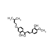 COc1ccc(C=CC(=O)c2ccc(OCC=C(C)C)cc2O)cc1O